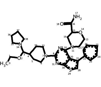 CCOC(C1CCN(c2nc(N3CCOC(C(N)=O)C3)c3c(-c4ccccc4)csc3n2)CC1)N1CCCC1